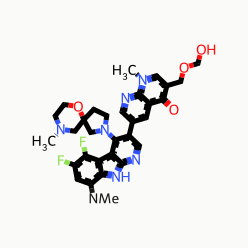 CNc1cc(F)c(F)c2c1[nH]c1ncc(-c3cnc4c(c3)c(=O)c(COCO)cn4C)c(N3CCC4(CN(C)CCO4)C3)c12